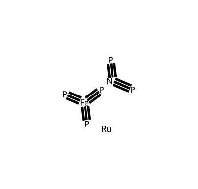 [P]#[Fe](#[P])#[P].[P]#[Ni]#[P].[Ru]